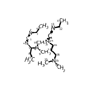 CCN=C=NC(CC)N(C)C.CCN=C=NCCCN(C)C